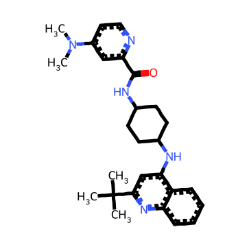 CN(C)c1ccnc(C(=O)NC2CCC(Nc3cc(C(C)(C)C)nc4ccccc34)CC2)c1